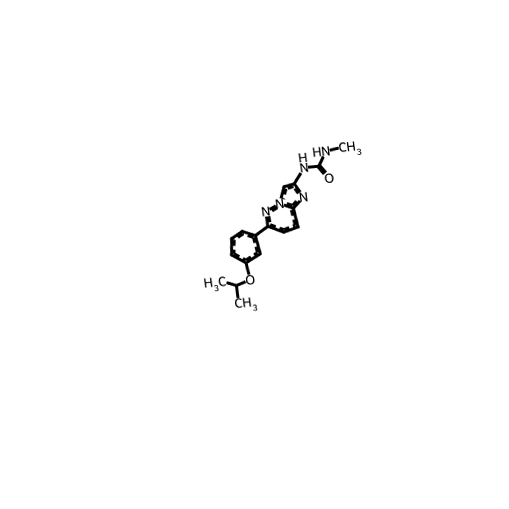 CNC(=O)Nc1cn2nc(-c3cccc(OC(C)C)c3)ccc2n1